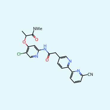 CNC(=O)C(C)Oc1cc(NC(=O)Cc2ccc(-c3cccc(C#N)n3)nc2)ncc1Cl